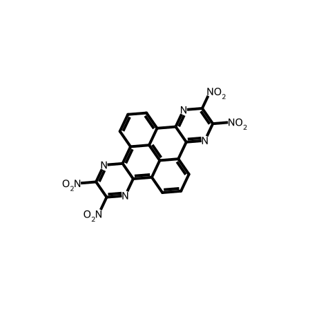 O=[N+]([O-])c1nc2c3cccc4c5nc([N+](=O)[O-])c([N+](=O)[O-])nc5c5cccc(c2nc1[N+](=O)[O-])c5c34